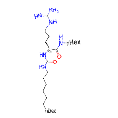 CCCCCCCCCCCCCCCCNC(=O)N[C@@H](CCCNC(=N)N)C(=O)NCCCCCC